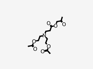 CC(=O)COC(=O)CCN(CCOC(C)=O)CCOC(C)=O